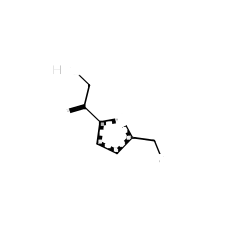 CCC(=O)c1ccc(CC)o1